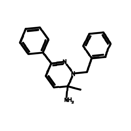 CC1(N)C=CC(c2ccccc2)=NN1Cc1ccccc1